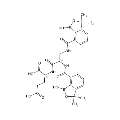 CC1(C)OB(O)c2c(C(=O)NC[C@H](NC(=O)c3cccc4c3B(O)OC4(C)C)C(=O)N[C@@H](CCC(=O)O)C(=O)O)cccc21